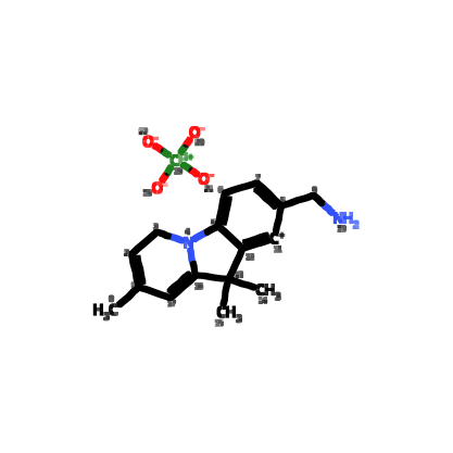 CC1=CCN2C3=CC=C(CN)[C+]=C3C(C)(C)C2=C1.[O-][Cl+3]([O-])([O-])[O-]